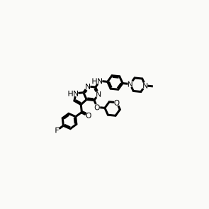 CN1CCN(c2ccc(Nc3nc(OC4CCCOC4)c4c(C(=O)c5ccc(F)cc5)c[nH]c4n3)cc2)CC1